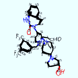 O=CCC1(N2CCC(N3CCC(O)CC3)CC2)CC(N2CCc3ccccc3NC2=O)CC[N@+]1(Cc1cc(C(F)(F)F)cc(C(F)(F)F)c1)C(=O)[O-]